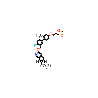 CCOC(=O)[C@H]1[C@@H]2Cc3cc(OCc4cc(-c5ccc(OCCCS(C)(=O)=O)cc5C(F)(F)F)ccc4F)ncc3[C@@H]21